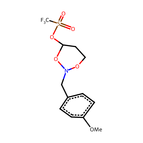 COc1ccc(CN2OCCC(OS(=O)(=O)C(F)(F)F)O2)cc1